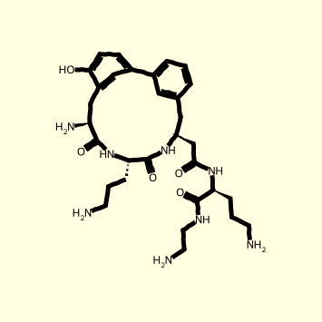 NCCC[C@H](NC(=O)C[C@@H]1Cc2cccc(c2)-c2ccc(O)c(c2)C[C@H](N)C(=O)N[C@@H](CCCN)C(=O)N1)C(=O)NCCN